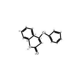 O=c1cc(Oc2ccccc2)c2ccccc2o1